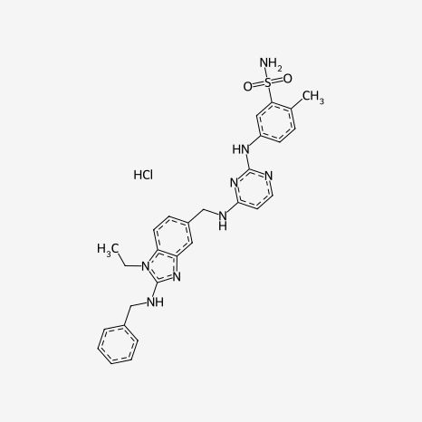 CCn1c(NCc2ccccc2)nc2cc(CNc3ccnc(Nc4ccc(C)c(S(N)(=O)=O)c4)n3)ccc21.Cl